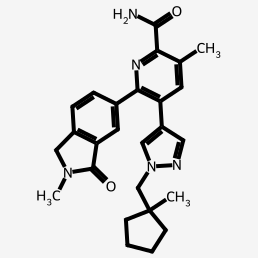 Cc1cc(-c2cnn(CC3(C)CCCC3)c2)c(-c2ccc3c(c2)C(=O)N(C)C3)nc1C(N)=O